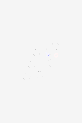 O=S1(c2ccccc2)=NC(c2cccc(-c3ccc4c5ccccc5c5ccccc5c4c3)c2)=Cc2ccccc21